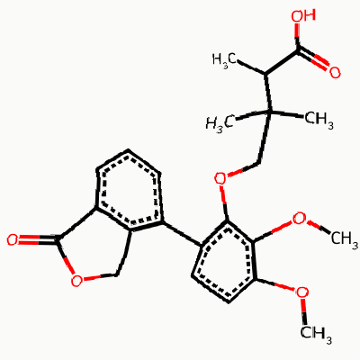 COc1ccc(-c2cccc3c2COC3=O)c(OCC(C)(C)C(C)C(=O)O)c1OC